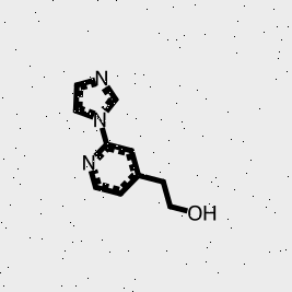 OCCc1ccnc(-n2ccnc2)c1